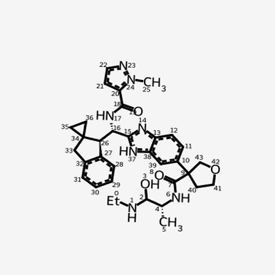 CCNC(O)[C@@H](C)NC(=O)C1(c2ccc3nc([C@@H](NC(=O)c4ccnn4C)[C@H]4c5ccccc5CC45CC5)[nH]c3c2)CCOC1